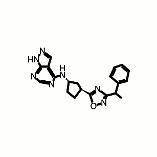 CC(c1ccccc1)c1noc([C@H]2CC[C@H](Nc3ncnc4[nH]ncc34)C2)n1